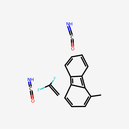 C=C(F)F.Cc1cccc2c1=c1ccccc1=2.N=C=O.N=C=O